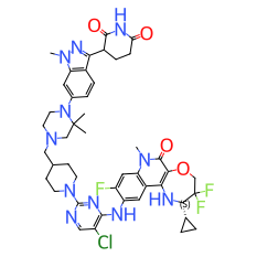 Cn1nc(C2CCC(=O)NC2=O)c2ccc(N3CCN(CC4CCN(c5ncc(Cl)c(Nc6cc7c8c(c(=O)n(C)c7cc6F)OCC(F)(F)[C@H](C6CC6)N8)n5)CC4)CC3(C)C)cc21